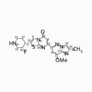 COc1cc(-c2cc(=O)n3cc([C@H]4CCNC[C@H]4F)sc3n2)nn2cc(C)nc12